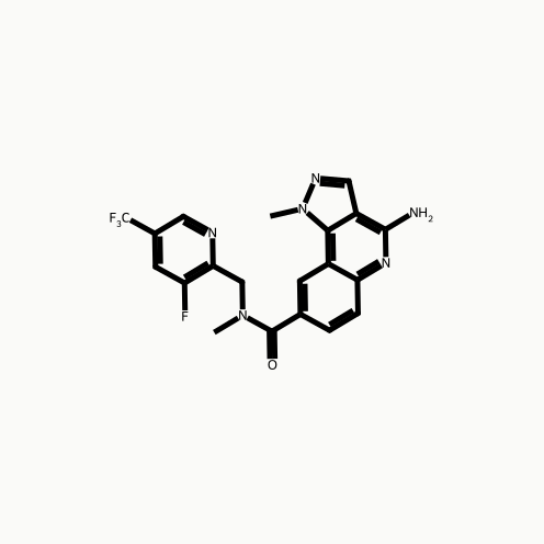 CN(Cc1ncc(C(F)(F)F)cc1F)C(=O)c1ccc2nc(N)c3cnn(C)c3c2c1